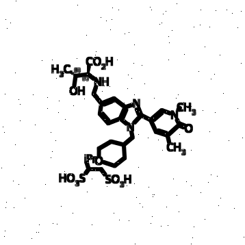 CC(C)C(CS(=O)(=O)O)S(=O)(=O)O.Cc1cc(-c2nc3cc(CN[C@H](C(=O)O)[C@@H](C)O)ccc3n2CC2CCOCC2)cn(C)c1=O